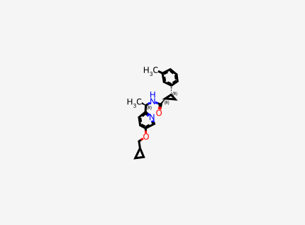 Cc1cccc([C@@H]2C[C@H]2C(=O)N[C@H](C)c2ccc(OCC3CC3)cn2)c1